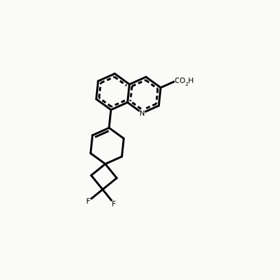 O=C(O)c1cnc2c(C3=CCC4(CC3)CC(F)(F)C4)cccc2c1